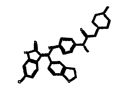 CN1CCN(CC(=O)N(C)c2ccc(N/C(=C3\C(=O)Nc4cc(Cl)ccc43)c3ccc4c(c3)CCO4)cc2)CC1